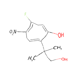 CC(C)(CO)c1cc([N+](=O)[O-])c(F)cc1O